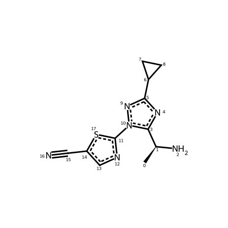 C[C@H](N)c1nc(C2CC2)nn1-c1ncc(C#N)s1